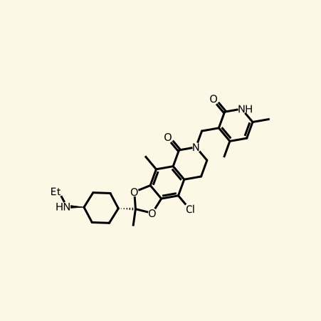 CCN[C@H]1CC[C@H](C2(C)Oc3c(C)c4c(c(Cl)c3O2)CCN(Cc2c(C)cc(C)[nH]c2=O)C4=O)CC1